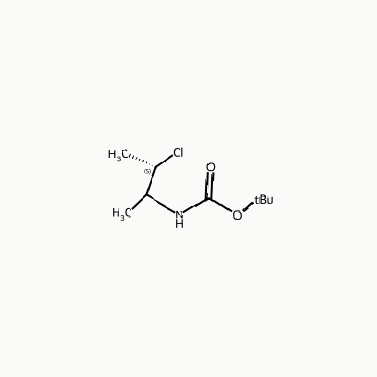 CC(NC(=O)OC(C)(C)C)[C@H](C)Cl